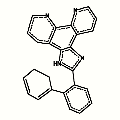 C1=CCCC(c2ccccc2-c2nc3c4cccnc4c4ncccc4c3[nH]2)=C1